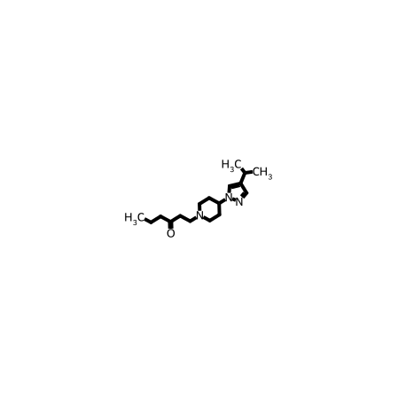 CCCC(=O)CCN1CCC(n2cc(C(C)C)cn2)CC1